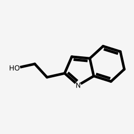 OCCC1=NC2=CCC=CC2=C1